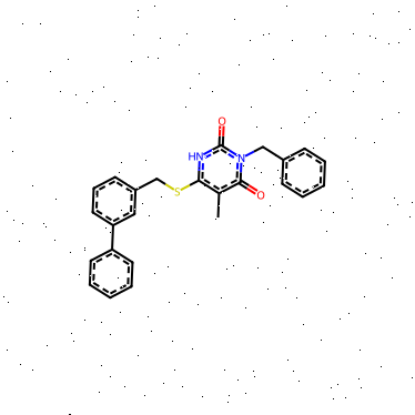 Cc1c(SCc2cccc(-c3ccccc3)c2)[nH]c(=O)n(Cc2ccccc2)c1=O